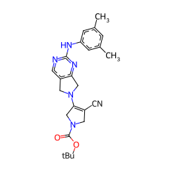 Cc1cc(C)cc(Nc2ncc3c(n2)CN(C2=C(C#N)CN(C(=O)OC(C)(C)C)C2)C3)c1